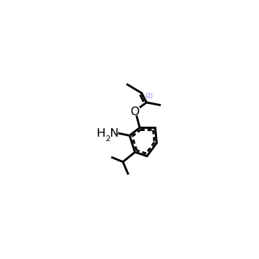 C/C=C(/C)Oc1cccc(C(C)C)c1N